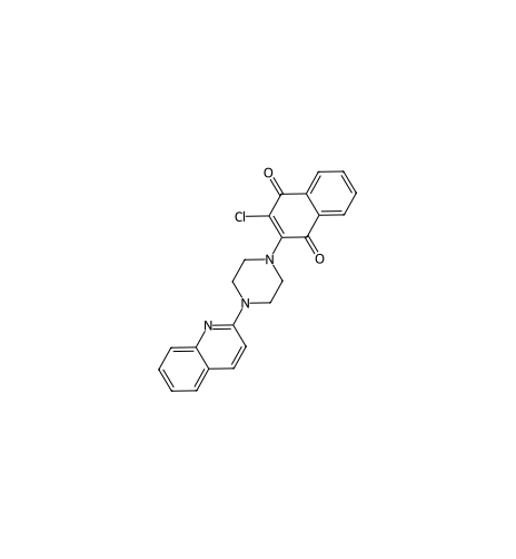 O=C1C(Cl)=C(N2CCN(c3ccc4ccccc4n3)CC2)C(=O)c2ccccc21